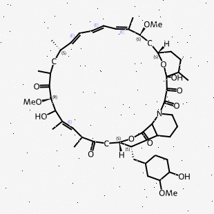 COC1CC(C[C@H]2C3CCCN4C(=O)C(=O)C5(O)O[C@@H](CCC5C)C[C@H](OC)/C(C)=C/C=C/C=C/[C@@H](C)CC(C)C(=O)[C@H](OC)C(O)/C(C)=C/C(C)C(=O)C[C@@H]2OC(=O)C34)CCC1O